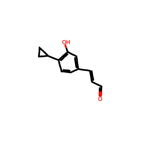 O=CC=Cc1ccc(C2CC2)c(O)c1